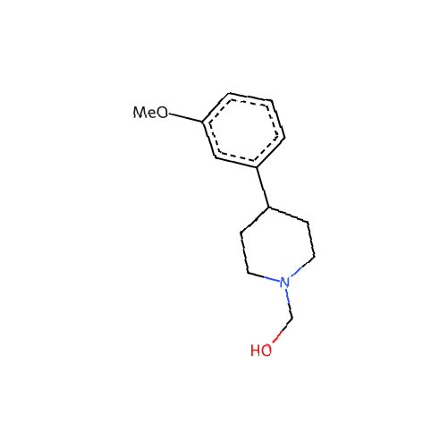 COc1cccc(C2CCN(CO)CC2)c1